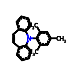 Cc1cc(C)c(N2c3ccccc3C=Cc3ccccc32)c(C)c1